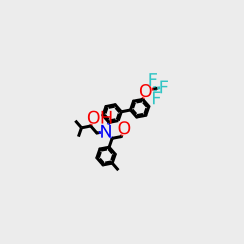 Cc1cccc(C2COc3c(-c4cccc(OC(F)(F)F)c4)cccc3N2CC(O)C(C)C)c1